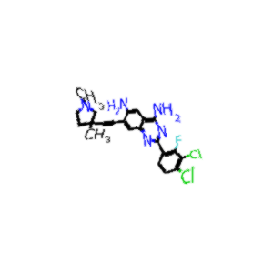 CN1CCC(C)(C#Cc2cc3nc(-c4ccc(Cl)c(Cl)c4F)nc(N)c3cc2N)C1